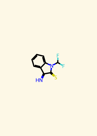 N=C1C(=S)N(C(F)F)c2ccccc21